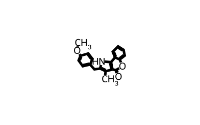 COc1ccc(Cc2[nH]c3c(c2C)c(=O)oc2ccccc23)cc1